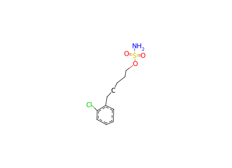 NS(=O)(=O)OCCCCCc1ccccc1Cl